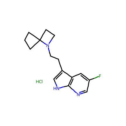 Cl.Fc1cnc2[nH]cc(CCN3CCC34CCC4)c2c1